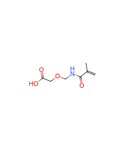 C=C(C)C(=O)NCOCC(=O)O